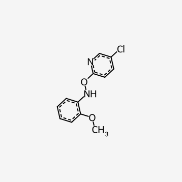 COc1ccccc1NOc1ccc(Cl)cn1